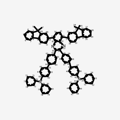 CC1(C)c2ccccc2-c2ccc(-c3ccc(-c4ccc5c(c4)C(C)(C)c4ccccc4-5)c4nc(-c5ccc(-c6ccc(N(c7ccccc7)c7ccccc7)cc6)cc5)c(-c5ccc(-c6ccc(N(c7ccccc7)c7ccccc7)cc6)cc5)nc34)cc21